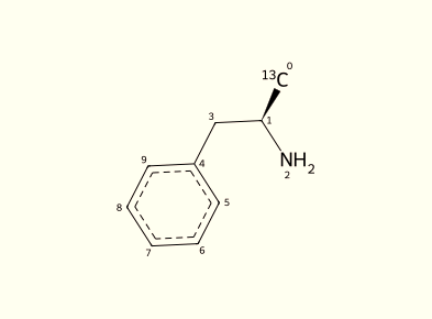 [13CH3][C@@H](N)Cc1ccccc1